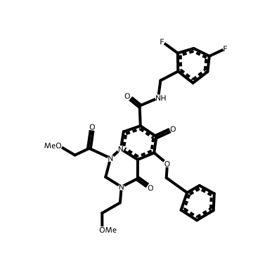 COCCN1CN(C(=O)COC)n2cc(C(=O)NCc3ccc(F)cc3F)c(=O)c(OCc3ccccc3)c2C1=O